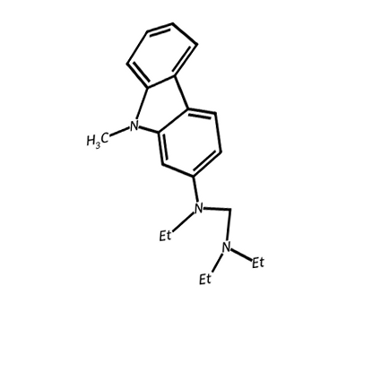 CCN(CC)CN(CC)c1ccc2c3ccccc3n(C)c2c1